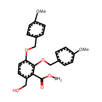 BOC(=O)c1c(CO)ccc(OCc2ccc(OC)cc2)c1OCc1ccc(OC)cc1